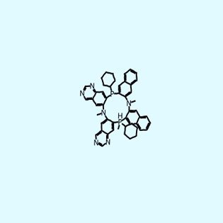 CN1c2cc3ccccc3cc2P(C2CCCCC2)c2cc3ncncc3cc2N(C)c2cc3cncnc3cc2[PH](C)(C2CCCCC2)c2cc3ccccc3cc21